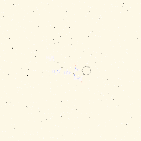 NCCC(N)CNC1=NN(O)c2ccccc2N1O